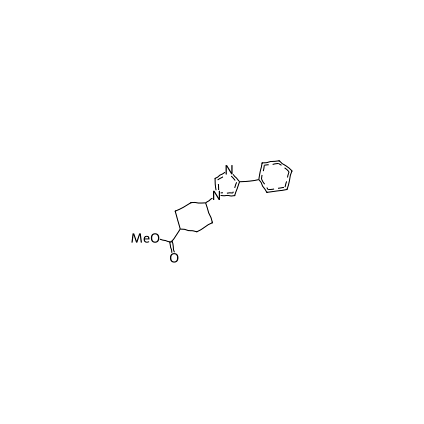 COC(=O)C1CCC(n2cnc(-c3ccccc3)c2)CC1